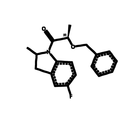 CC1Cc2cc(F)ccc2N1C(=O)[C@@H](C)OCc1ccccc1